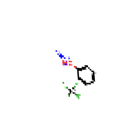 F[B-](F)(F)F.N#[NH+].Oc1ccccc1